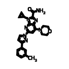 Cc1cccc(-c2ccn(-c3cc(N4CCOCC4)c4nc(C(N)=O)n(C5CC5)c4n3)n2)c1